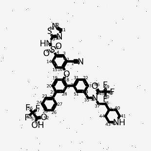 N#Cc1cc(S(=O)(=O)Nc2ncns2)ccc1Oc1ccc(-c2ccccc2)cc1-c1cccc(CN(CCC2CCNCC2)C(=O)C(F)(F)F)c1.O=C(O)C(F)(F)F